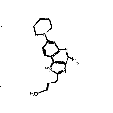 Nc1nc2cc(N3CCCCC3)ccc2c2[nH]c(CCCO)nc12